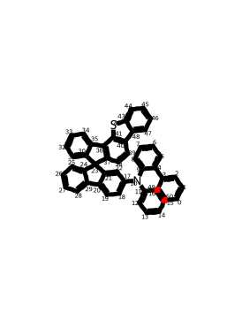 c1ccc(-c2ccccc2N(c2ccccc2)c2ccc3c(c2)C2(c4ccccc4-3)c3ccccc3-c3c2ccc2c3sc3ccccc32)cc1